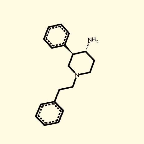 N[C@@H]1CCN(CCc2ccccc2)C[C@H]1c1ccccc1